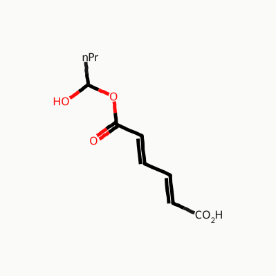 CCCC(O)OC(=O)C=CC=CC(=O)O